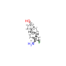 C[C@]12CC[C@H]3[C@@H](CCC4C[C@H](O)CC[C@@]43C)[C@@H]1C[C@@H](F)[C@@H]2N